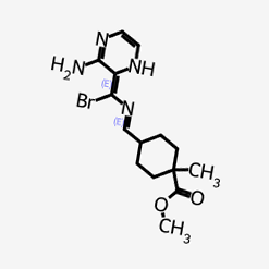 COC(=O)C1(C)CCC(/C=N/C(Br)=C2\NC=CN=C2N)CC1